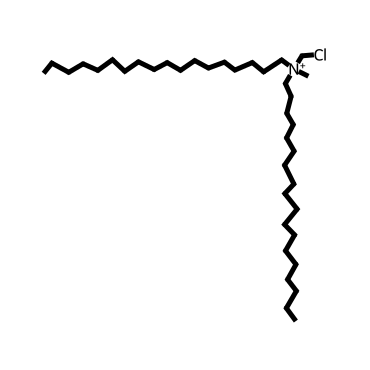 CCCCCCCCCCCCCCCCCC[N+](C)(CCl)CCCCCCCCCCCCCCCCCC